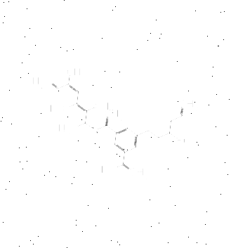 C=CCC(CC)CCc1cc(C(=C)C)cc(C(=C)NC(C)/C(C)=C(C)/C=C(/C)C=C)c1